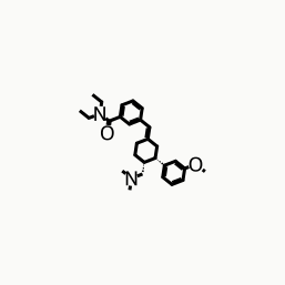 CCN(CC)C(=O)c1cccc(/C=C2\CC[C@@H](CN(C)C)[C@@H](c3cccc(OC)c3)C2)c1